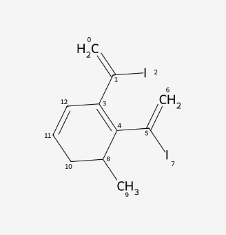 C=C(I)C1=C(C(=C)I)C(C)CC=C1